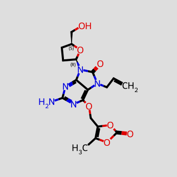 C=CCn1c(=O)n([C@H]2CC[C@@H](CO)O2)c2nc(N)nc(OCc3oc(=O)oc3C)c21